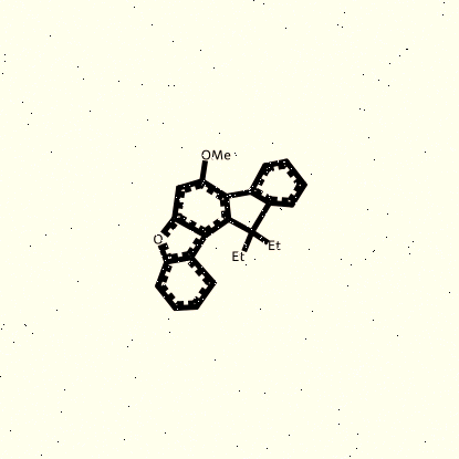 CCC1(CC)c2ccccc2-c2c(OC)cc3oc4ccccc4c3c21